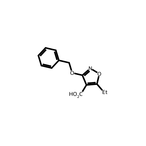 CCc1onc(OCc2ccccc2)c1C(=O)O